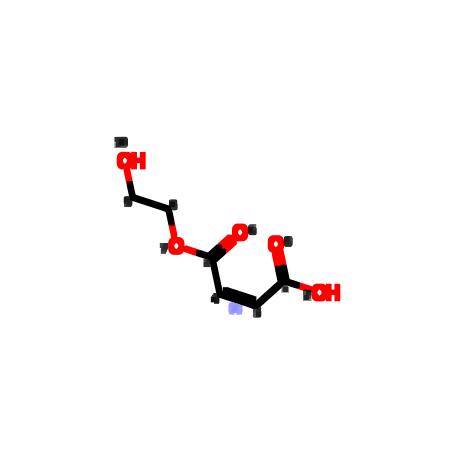 O=C(O)/C=C\C(=O)OCCO